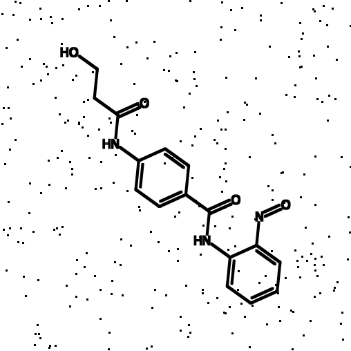 O=Nc1ccccc1NC(=O)c1ccc(NC(=O)CCO)cc1